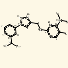 Cc1cnc(OCc2cn(-c3cccc(C(F)F)c3)nn2)nc1N(C)C